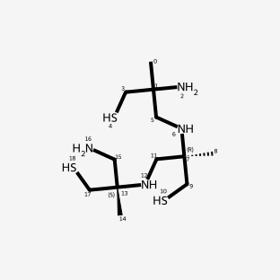 CC(N)(CS)CN[C@@](C)(CS)CN[C@@](C)(CN)CS